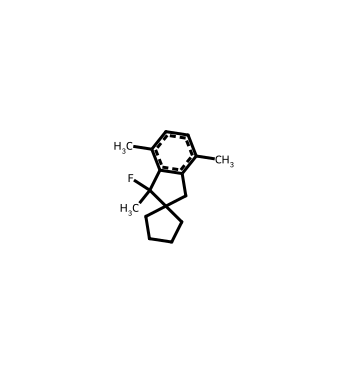 Cc1ccc(C)c2c1CC1(CCCC1)C2(C)F